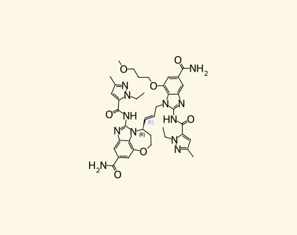 CCn1nc(C)cc1C(=O)Nc1nc2cc(C(N)=O)cc(OCCCOC)c2n1C/C=C/[C@H]1CCOc2cc(C(N)=O)cc3nc(NC(=O)c4cc(C)nn4CC)n1c23